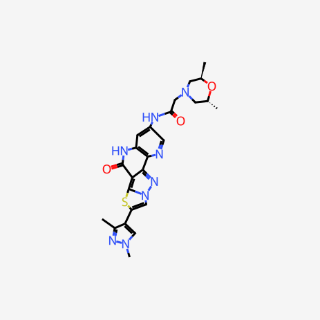 Cc1nn(C)cc1-c1cn2nc3c4ncc(NC(=O)CN5C[C@@H](C)O[C@H](C)C5)cc4[nH]c(=O)c3c2s1